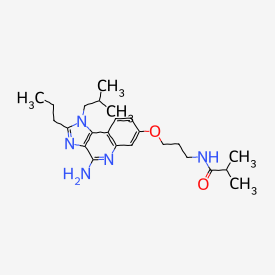 CCCc1nc2c(N)nc3cc(OCCCNC(=O)C(C)C)ccc3c2n1CC(C)C